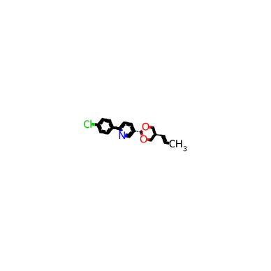 CC=C[C@H]1CO[C@H](c2ccc(-c3ccc(Cl)cc3)nc2)OC1